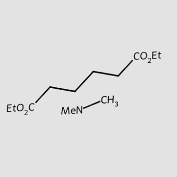 CCOC(=O)CCCCC(=O)OCC.CNC